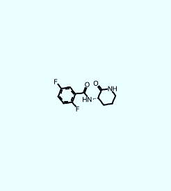 O=C(N[C@H]1CCCNC1=O)c1cc(F)ccc1F